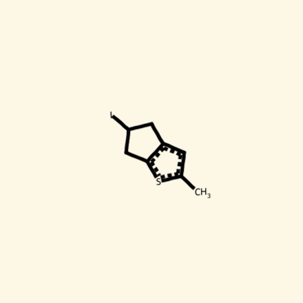 Cc1cc2c(s1)CC(I)C2